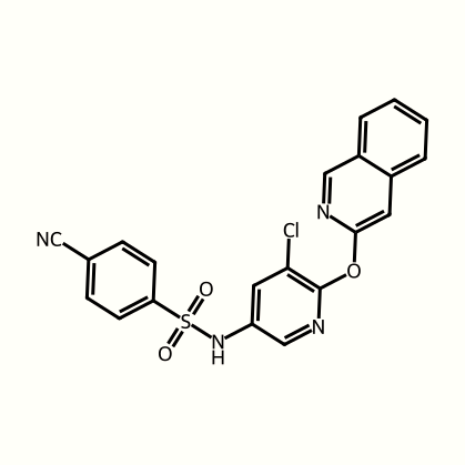 N#Cc1ccc(S(=O)(=O)Nc2cnc(Oc3cc4ccccc4cn3)c(Cl)c2)cc1